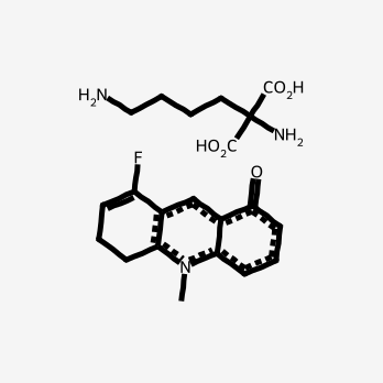 Cn1c2cccc(=O)c-2cc2c1CCC=C2F.NCCCCC(N)(C(=O)O)C(=O)O